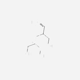 C=CC(CC)C[C@@H](CC)SC